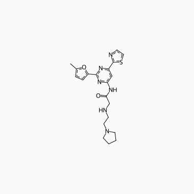 Cc1ccc(-c2nc(NC(=O)CNCCN3CCCC3)cc(-c3nccs3)n2)o1